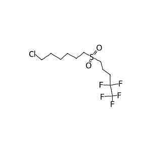 O=S(=O)(CCCCCCCl)CCCC(F)(F)C(F)(F)F